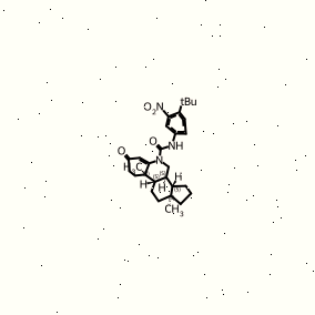 CC(C)(C)c1ccc(NC(=O)N2C[C@H]3[C@@H]4CCC[C@@]4(C)CC[C@@H]3[C@@]3(C)CCC(=O)C=C23)cc1[N+](=O)[O-]